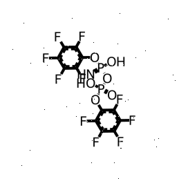 N=P(O)(Oc1c(F)c(F)c(F)c(F)c1F)OP(=O)(O)Oc1c(F)c(F)c(F)c(F)c1F